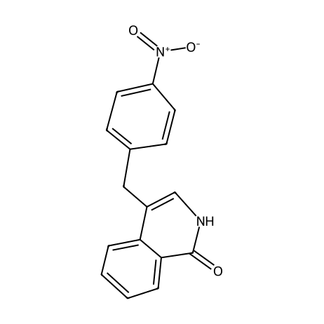 O=c1[nH]cc(Cc2ccc([N+](=O)[O-])cc2)c2ccccc12